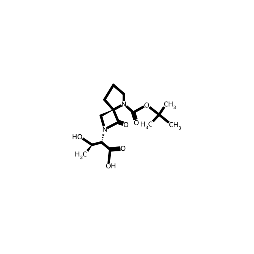 C[C@@H](O)[C@@H](C(=O)O)N1C[C@]2(CCCN2C(=O)OC(C)(C)C)C1=O